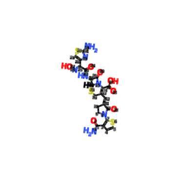 NC(=O)c1ccsc1N1CCC(=CC2=C(C(=O)O)N3C(=O)[C@@H](NC(=O)C(=NO)c4csc(N)n4)[C@H]3SC2)C1=O